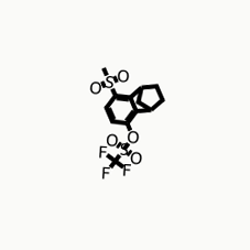 CS(=O)(=O)c1ccc(OS(=O)(=O)C(F)(F)F)c2c1C1CCC2C1